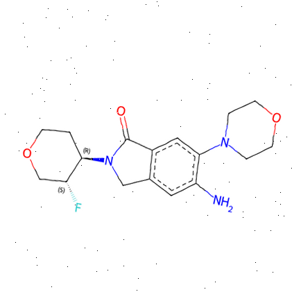 Nc1cc2c(cc1N1CCOCC1)C(=O)N([C@@H]1CCOC[C@H]1F)C2